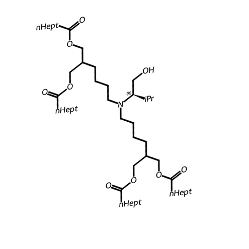 CCCCCCCC(=O)OCC(CCCCN(CCCCC(COC(=O)CCCCCCC)COC(=O)CCCCCCC)[C@@H](CO)C(C)C)COC(=O)CCCCCCC